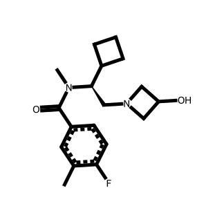 Cc1cc(C(=O)N(C)[C@H](CN2CC(O)C2)C2CCC2)ccc1F